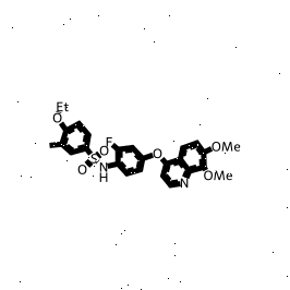 CCOc1ccc(S(=O)(=O)Nc2ccc(Oc3ccnc4c(OC)c(OC)ccc34)cc2F)cc1C